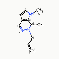 C=CCN1N=Cc2ccn(C)c2C1=C